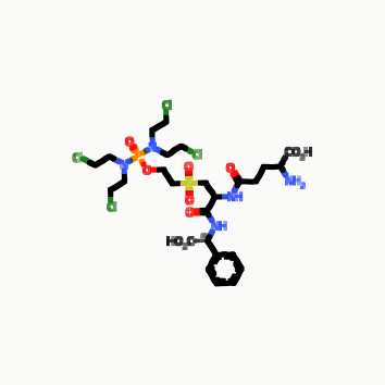 NC(CCC(=O)NC(CS(=O)(=O)CCOP(=O)(N(CCCl)CCCl)N(CCCl)CCCl)C(=O)N[C@@H](C(=O)O)c1ccccc1)C(=O)O